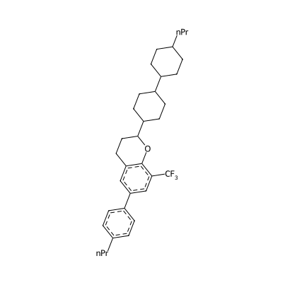 CCCc1ccc(-c2cc3c(c(C(F)(F)F)c2)OC(C2CCC(C4CCC(CCC)CC4)CC2)CC3)cc1